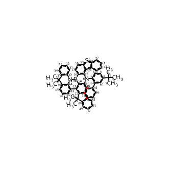 CC(C)(C)c1ccc(N2c3cc4c(c5c3B(c3ccc6sc7ccccc7c6c32)N2c3ccccc3C(C)(C)c3cccc-5c32)C(C)(C)c2ccccc2-4)c(-c2ccccc2)c1